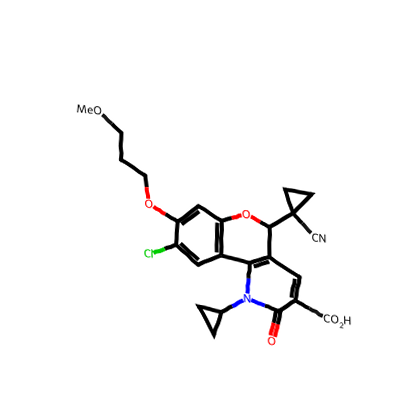 COCCCOc1cc2c(cc1Cl)-c1c(cc(C(=O)O)c(=O)n1C1CC1)C(C1(C#N)CC1)O2